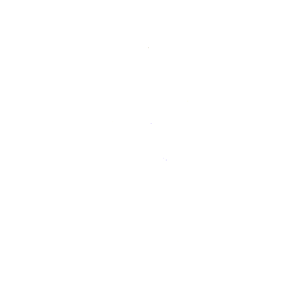 Cc1c(C)c(N2CCN(c3ccc(OC(F)(F)F)cc3)CC2)c(C)c2c1OC(C)(C)C2